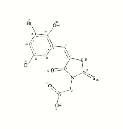 O=C(O)CN1C(=O)/C(=C\c2cc(Cl)cc(Br)c2O)SC1=S